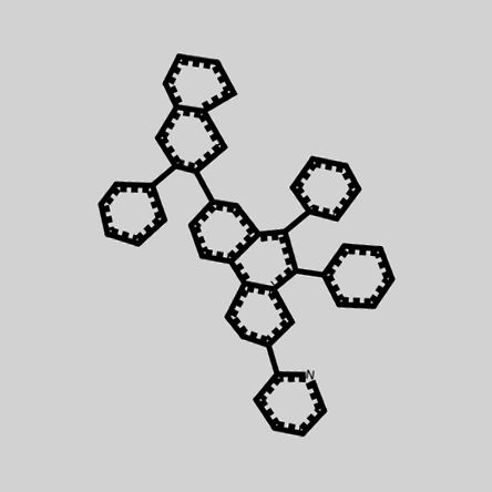 c1ccc(-c2cc3ccccc3cc2-c2ccc3c(c2)c(-c2ccccc2)c(-c2ccccc2)c2cc(-c4ccccn4)ccc23)cc1